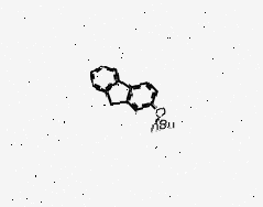 CCCCOc1[c]c2c(cc1)-c1ccccc1C2